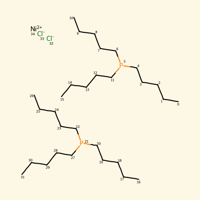 CCCCCP(CCCCC)CCCCC.CCCCCP(CCCCC)CCCCC.[Cl-].[Cl-].[Ni+2]